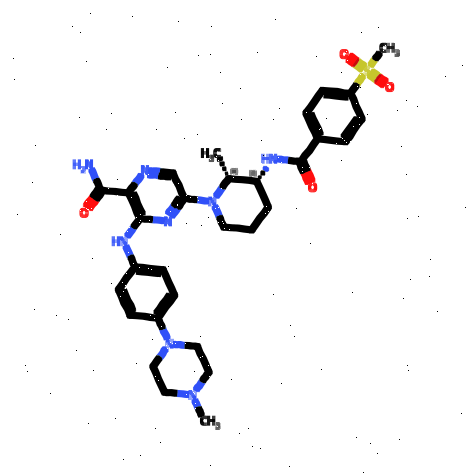 C[C@@H]1[C@H](NC(=O)c2ccc(S(C)(=O)=O)cc2)CCCN1c1cnc(C(N)=O)c(Nc2ccc(N3CCN(C)CC3)cc2)n1